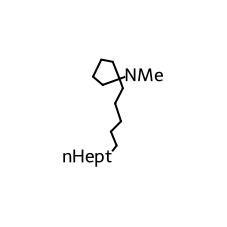 CCCCCCCCCCCCC1(NC)CCCC1